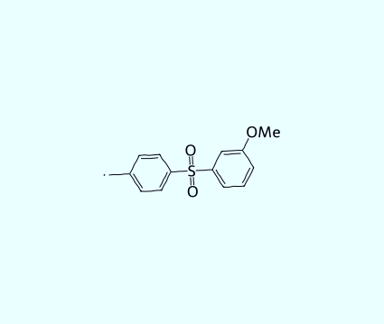 [CH2]c1ccc(S(=O)(=O)c2cccc(OC)c2)cc1